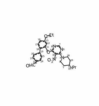 CCCC1CCN(c2ncnc(Oc3cc(OCC)ccc3-c3ccc(C=O)cc3)c2[N+](=O)[O-])CC1